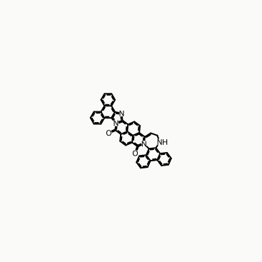 O=c1c2ccc3c(=O)n4c(nc5c6ccccc6c6ccccc6c54)c4ccc(c5n1-c1c(c6ccccc6c6ccccc16)NCC=5)c2c34